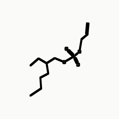 C=CCOS(=O)(=O)OCC(CC)CCCC